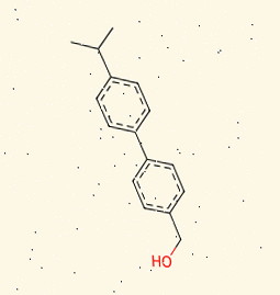 C[C](C)c1ccc(-c2ccc(CO)cc2)cc1